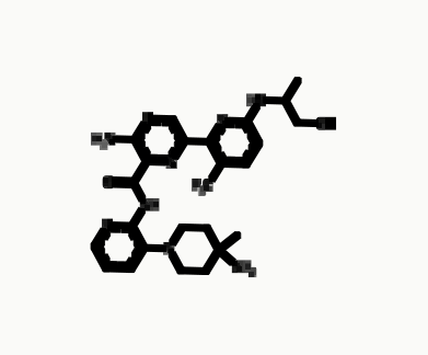 CC(CO)Nc1ccc(C(F)(F)F)c(-c2cnc(N)c(C(=O)Nc3ncccc3N3CCC(C)(N)CC3)n2)n1